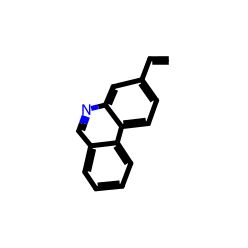 C=Cc1ccc2c(c1)ncc1ccccc12